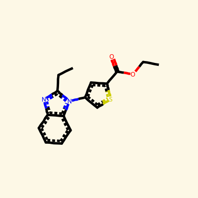 CCOC(=O)c1cc(-n2c(CC)nc3ccccc32)cs1